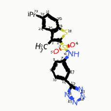 Cc1c(S(=O)(=O)Nc2cccc(C3=N[N]N=N3)c2)sc2ccc(C(C)C)cc12